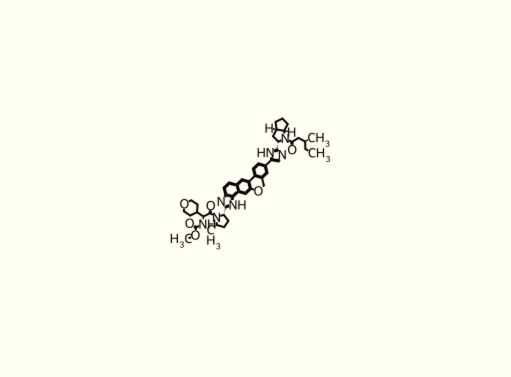 CC[C@H](C)CC(=O)N1[C@H](c2ncc(-c3ccc4c(c3)COc3cc5c(ccc6nc([C@@H]7CC[C@H](C)N7C(=O)[C@@H](NC(=O)OC)C7CCOCC7)[nH]c65)cc3-4)[nH]2)C[C@@H]2CCC[C@@H]21